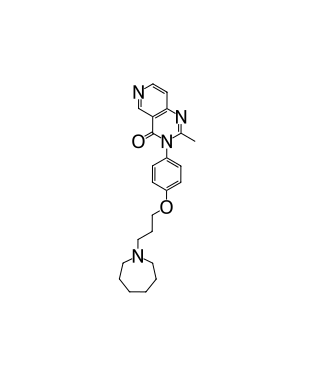 Cc1nc2ccncc2c(=O)n1-c1ccc(OCCCN2CCCCCC2)cc1